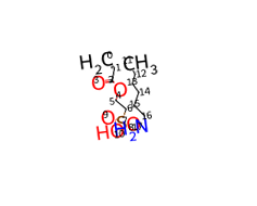 C=CC(=O)OCCS(=O)(=O)O.CCCCCCN